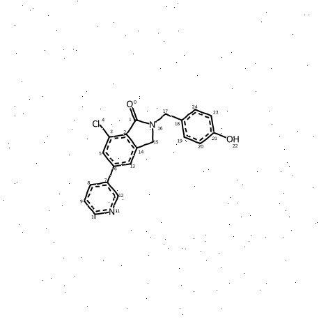 O=C1c2c(Cl)cc(-c3cccnc3)cc2CN1Cc1ccc(O)cc1